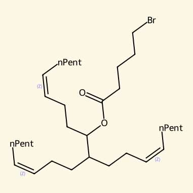 CCCCC/C=C\CCC(CC/C=C\CCCCC)C(CC/C=C\CCCCC)OC(=O)CCCCBr